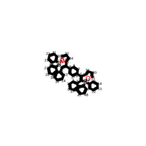 c1ccc(C2=C(c3ccc(C4=C(c5ccccc5)[B-](c5ccccc5)(c5ccccc5)[o+]5cccc54)cc3)c3ccc[o+]3[B-]2(c2ccccc2)c2ccccc2)cc1